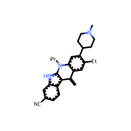 C=C1c2cc(CC)c(C3CCN(C)CC3)cc2N(C(C)C)c2[nH]c3cc(C#N)ccc3c21